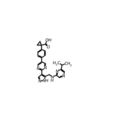 CC(C)c1cncc(NCc2[nH]ncc2-c2ncc(-c3ccc(C4(C(=O)O)CC4)cc3)cn2)n1